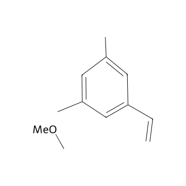 C=Cc1cc(C)cc(C)c1.COC